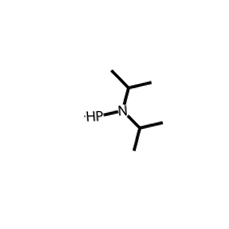 CC(C)N([PH])C(C)C